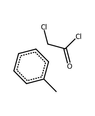 Cc1ccccc1.O=C(Cl)CCl